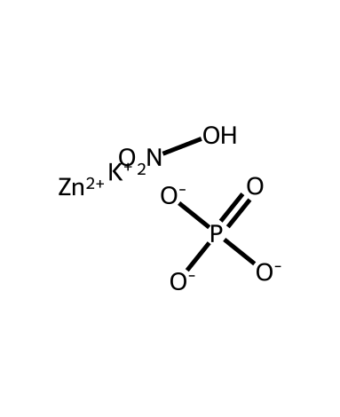 O=P([O-])([O-])[O-].O=[N+]([O-])O.[K+].[Zn+2]